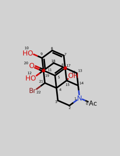 CC(=O)N1CCC23c4c(ccc(O)c4O)CC1C2(O)CCC(=O)C3Br